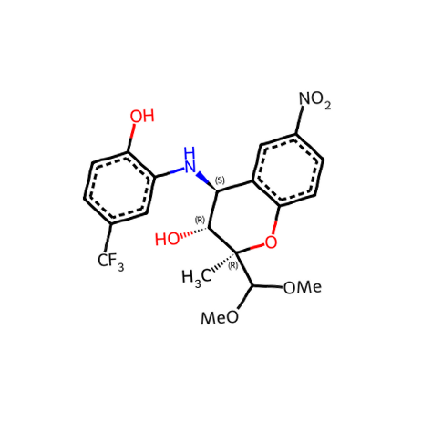 COC(OC)[C@]1(C)Oc2ccc([N+](=O)[O-])cc2[C@H](Nc2cc(C(F)(F)F)ccc2O)[C@H]1O